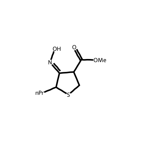 CCCC1SCC(C(=O)OC)C1=NO